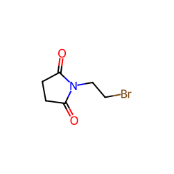 O=C1CCC(=O)N1CCBr